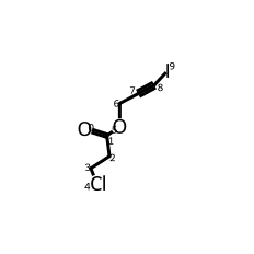 O=C(CCCl)OCC#CI